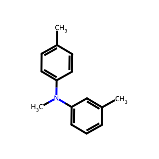 Cc1ccc(N(C)c2cccc(C)c2)cc1